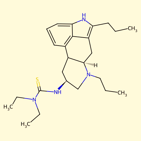 CCCc1[nH]c2cccc3c2c1C[C@@H]1C3C[C@H](NC(=S)N(CC)CC)CN1CCC